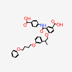 CC(COc1ccc(C(=O)O)cc1C(=O)Nc1ccc(C(=O)O)cc1)c1cccc(OCCCCOc2ccccc2)c1